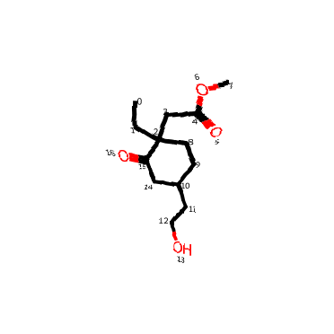 CCC1(CC(=O)OC)CCC(CCO)CC1=O